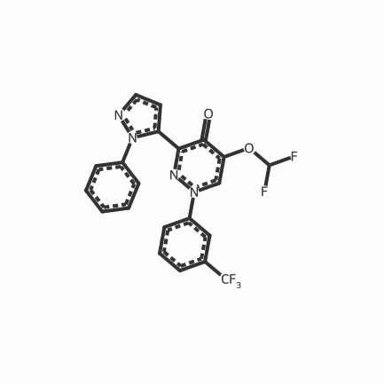 O=c1c(OC(F)F)cn(-c2cccc(C(F)(F)F)c2)nc1-c1ccnn1-c1ccccc1